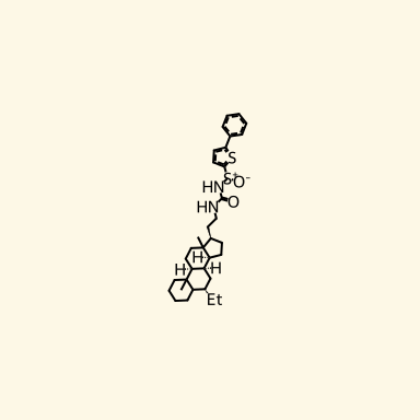 CC[C@H]1C[C@H]2[C@H](CCC3(C)[C@@H](CCNC(=O)N[S+]([O-])c4ccc(-c5ccccc5)s4)CC[C@@H]23)C2(C)CCCCC12